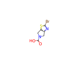 O=C(O)N1Cc2nc(Br)sc2C1